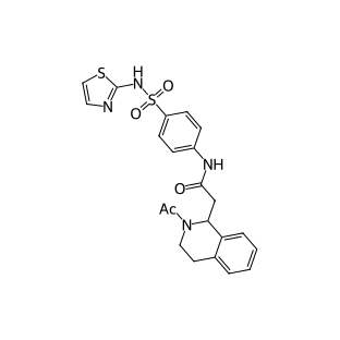 CC(=O)N1CCc2ccccc2C1CC(=O)Nc1ccc(S(=O)(=O)Nc2nccs2)cc1